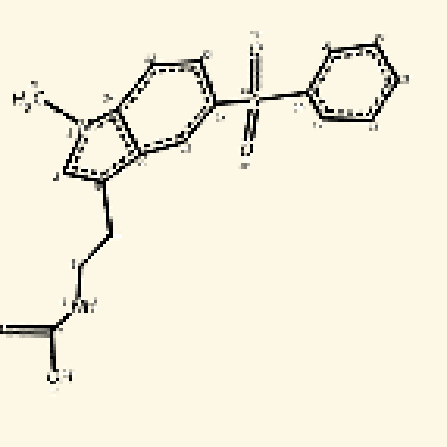 Cn1cc(CCNC(=O)O)c2cc(S(=O)(=O)c3ccccc3)ccc21